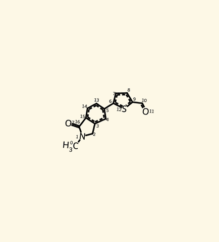 CN1Cc2cc(-c3ccc(C=O)s3)ccc2C1=O